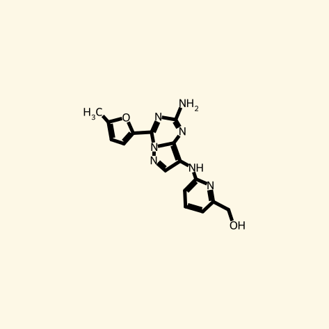 Cc1ccc(-c2nc(N)nc3c(Nc4cccc(CO)n4)cnn23)o1